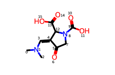 CN(C)C=C1C(=O)CN(C(=O)O)C1C(=O)O